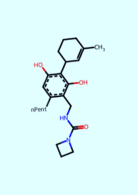 CCCCCc1cc(O)c(C2C=C(C)CCC2)c(O)c1CNC(=O)N1CCC1